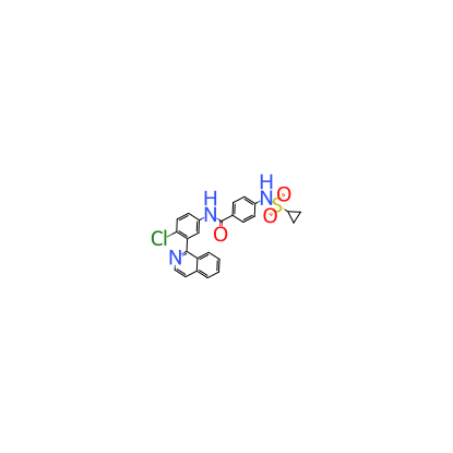 O=C(Nc1ccc(Cl)c(-c2nccc3ccccc23)c1)c1ccc(NS(=O)(=O)C2CC2)cc1